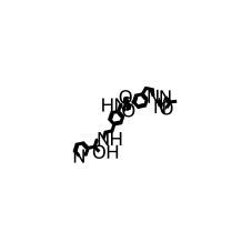 Cc1nc(N2CCc3cc(S(=O)(=O)Nc4ccc(CCNCC(O)c5cccnc5)cc4)ccc32)no1